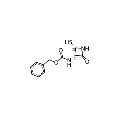 O=C(N[C@H]1C(=O)N[C@H]1S)OCc1ccccc1